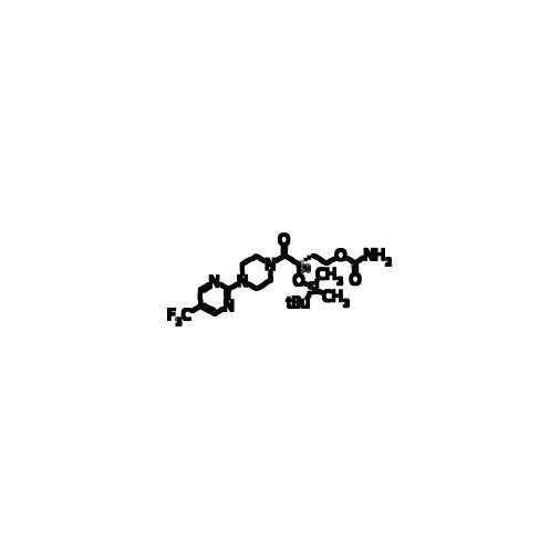 CC(C)(C)[Si](C)(C)O[C@@H](CCOC(N)=O)C(=O)N1CCN(c2ncc(C(F)(F)F)cn2)CC1